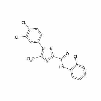 O=C(Nc1ccccc1Cl)c1nc(C(Cl)(Cl)Cl)n(-c2ccc(Cl)c(Cl)c2)n1